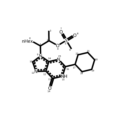 CCCCCCC(C(C)OS(C)(=O)=O)n1cnc2c(=O)[nH]c(C3CCCCC3)nc21